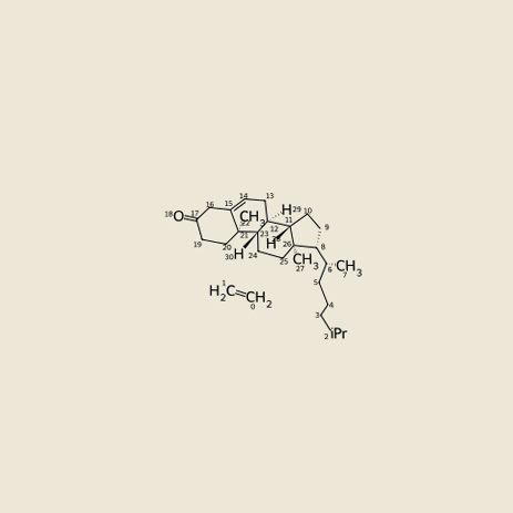 C=C.CC(C)CCC[C@@H](C)[C@H]1CC[C@H]2[C@@H]3CC=C4CC(=O)CC[C@]4(C)[C@H]3CC[C@]12C